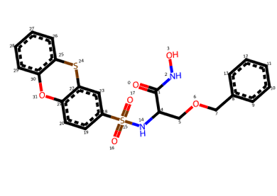 O=C(NO)C(COCc1ccccc1)NS(=O)(=O)c1ccc2c(c1)Sc1ccccc1O2